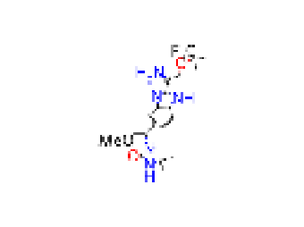 COCC(c1ccc2[nH]c([C@@H](N)COC(C)(C)C(F)(F)F)nc2c1)N1CC(C)(C)NC1=O